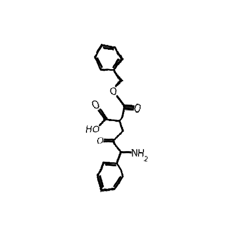 NC(C(=O)CC(C(=O)O)C(=O)OCc1ccccc1)c1ccccc1